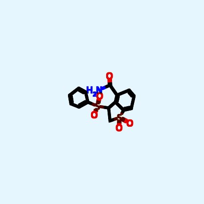 NC(=O)c1cccc2c1C(S(=O)(=O)c1ccccc1)CS2(=O)=O